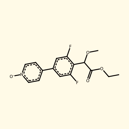 CCOC(=O)C(OC)c1c(F)cc(-c2cc[n+]([O-])cc2)cc1F